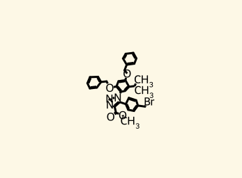 COC(=O)c1nnn(-c2cc(C(C)C)c(OCc3ccccc3)cc2OCc2ccccc2)c1-c1ccc(CBr)cc1